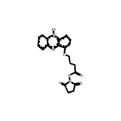 CC[n+]1c2ccccc2nc2c(OCCCC(=O)ON3C(=O)CCC3=O)cccc21